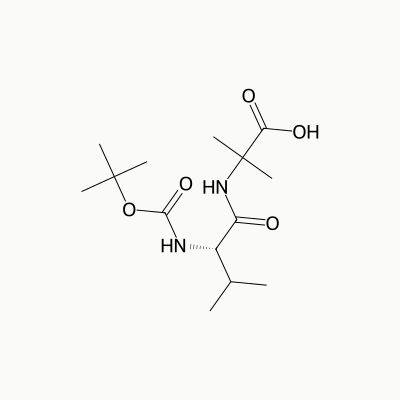 CC(C)[C@H](NC(=O)OC(C)(C)C)C(=O)NC(C)(C)C(=O)O